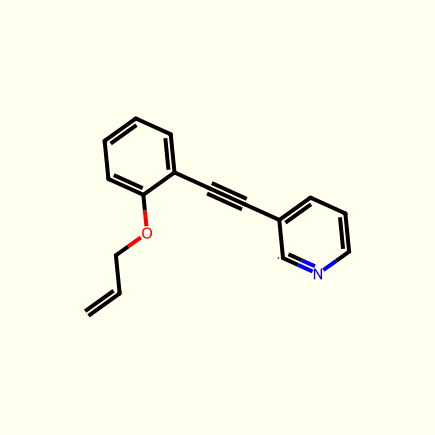 C=CCOc1ccccc1C#Cc1[c]nccc1